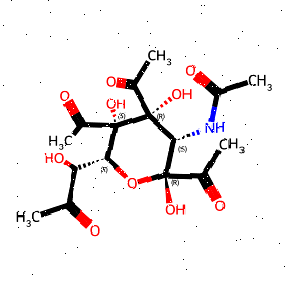 CC(=O)N[C@@H]1[C@](O)(C(C)=O)O[C@H](C(O)C(C)=O)[C@@](O)(C(C)=O)[C@@]1(O)C(C)=O